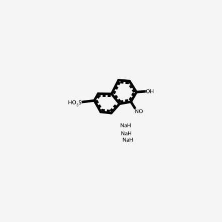 O=Nc1c(O)ccc2cc(S(=O)(=O)O)ccc12.[NaH].[NaH].[NaH]